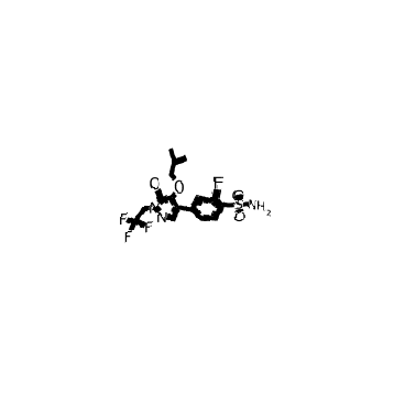 CC(C)COc1c(-c2ccc(S(N)(=O)=O)c(F)c2)cnn(CC(F)(F)F)c1=O